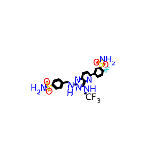 NS(=O)(=O)c1ccc(CNc2nc(NCC(F)(F)F)c3nc(-c4ccc(F)c(S(N)(=O)=O)c4)ccc3n2)cc1